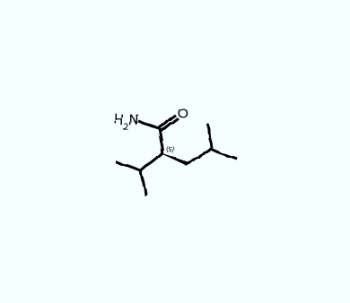 CC(C)C[C@H](C(N)=O)C(C)C